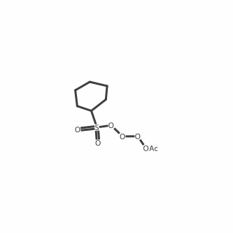 CC(=O)OOOOS(=O)(=O)C1CCCCC1